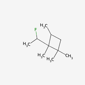 CC(F)C1(C)C(C)CC1(C)C